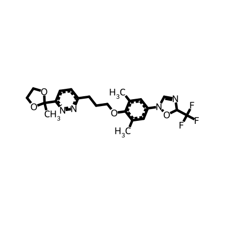 Cc1cc(N2C=NC(C(F)(F)F)O2)cc(C)c1OCCCc1ccc(C2(C)OCCO2)nn1